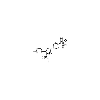 Cc1ccc(C2CC(c3ccc(NS(C)(=O)=O)cc3)=NN2C(=O)C(C)C)cc1